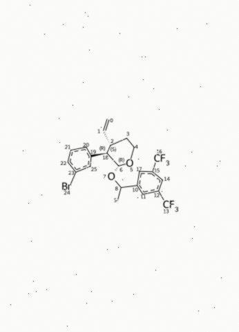 C=C[C@@H]1CCO[C@H](OC(C)c2cc(C(F)(F)F)cc(C(F)(F)F)c2)[C@H]1c1cccc(Br)c1